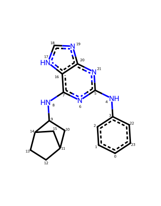 c1ccc(Nc2nc(NC3CC4CCC3C4)c3[nH]cnc3n2)cc1